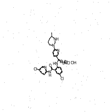 CC1CCCN(c2ccc(C(=O)Nc3ccc(Cl)cc3C(=O)Nc3ccc(Cl)cn3)cn2)CN1.Cl.Cl.Cl.O